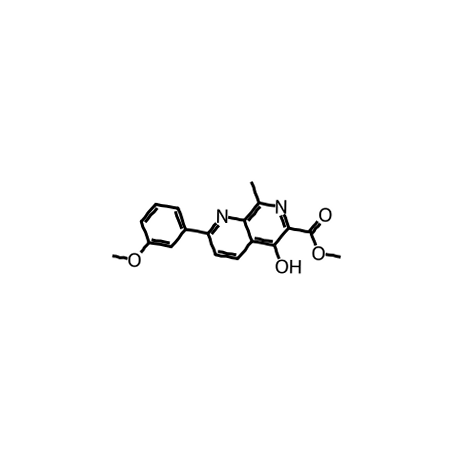 COC(=O)c1nc(C)c2nc(-c3cccc(OC)c3)ccc2c1O